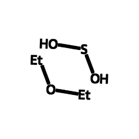 CCOCC.OSO